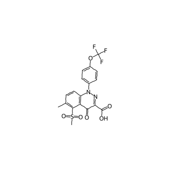 Cc1ccc2c(c1S(C)(=O)=O)c(=O)c(C(=O)O)nn2-c1ccc(OC(F)(F)F)cc1